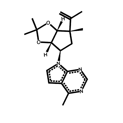 C=C(C)[C@]1(C)C[C@@H](n2ccc3c(C)ncnc32)[C@@H]2OC(C)(C)O[C@@H]21